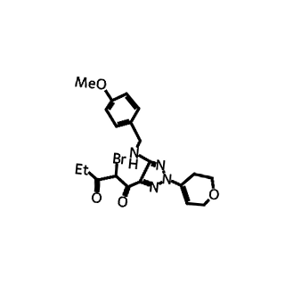 CCC(=O)C(Br)C(=O)c1nn(C2=CCOCC2)nc1NCc1ccc(OC)cc1